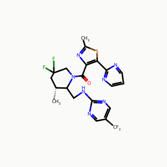 Cc1nc(C(=O)N2CC(F)(F)C[C@@H](C)C2CNc2ncc(C(F)(F)F)cn2)c(-c2ncccn2)s1